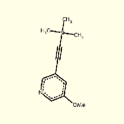 COc1cncc(C#C[Si](C)(C)C)c1